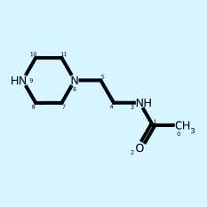 CC(=O)NCCN1CCNCC1